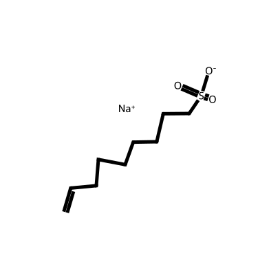 C=CCCCCCCCS(=O)(=O)[O-].[Na+]